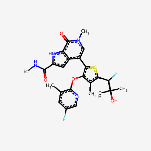 CCNC(=O)c1cc2c(-c3sc(C(F)C(C)(C)O)c(C)c3Oc3ncc(F)cc3C)cn(C)c(=O)c2[nH]1